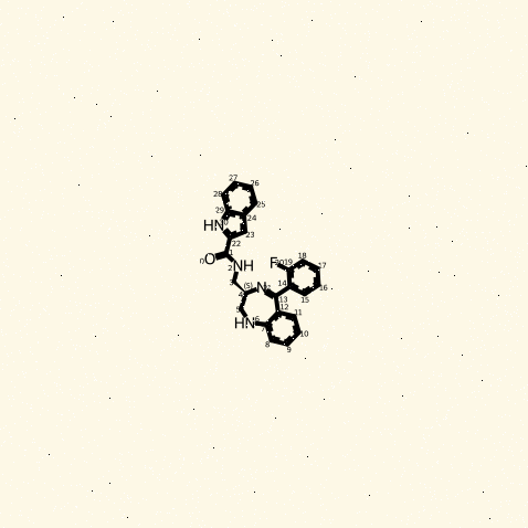 O=C(NC[C@@H]1CNc2ccccc2C(c2ccccc2F)=N1)c1cc2ccccc2[nH]1